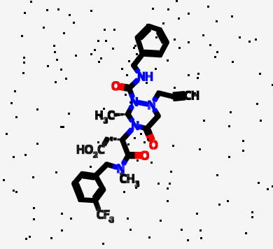 C#CCN1CC(=O)N([C@@H](CC(=O)O)C(=O)N(C)Cc2cccc(C(F)(F)F)c2)[C@H](C)N1C(=O)NCc1ccccc1